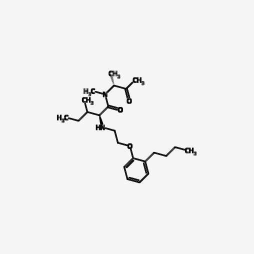 CCCCc1ccccc1OCCN[C@H](C(=O)N(C)[C@H](C)C(C)=O)C(C)CC